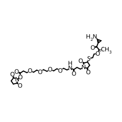 C[C@H](OCCSC1CC(=O)N(CCC(=O)NCCOCCOCCOCCOCCC(=O)ON2C(=O)CCC2=O)C1=O)C(=O)C1=C(N)C1